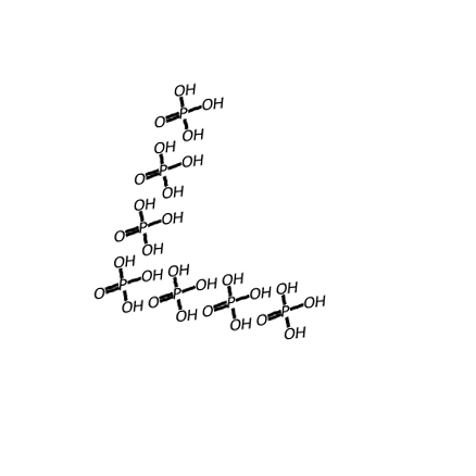 O=P(O)(O)O.O=P(O)(O)O.O=P(O)(O)O.O=P(O)(O)O.O=P(O)(O)O.O=P(O)(O)O.O=P(O)(O)O